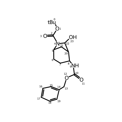 CC(C)(C)OC(=O)N1C2CCC(NC(=O)OCc3ccccc3)C(C2)C1O